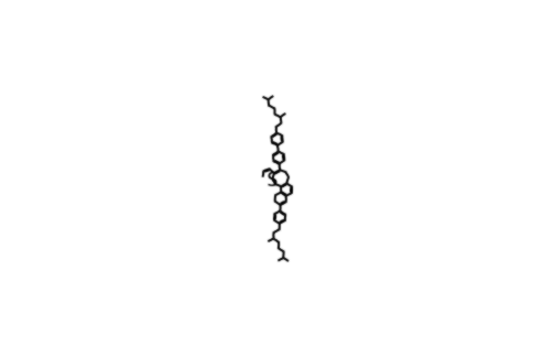 C/C=C\C1=C(/c2ccc(-c3ccc(CCC(C)CCCC(C)C)cc3)cc2)CCc2ccc3c(c2CS1)CCC(c1ccc(CCC(C)CCCC(C)C)cc1)=C3